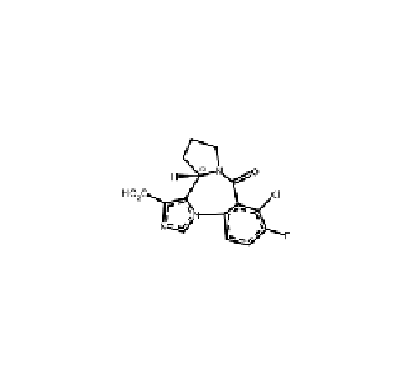 O=C(O)c1ncn2c1[C@@H]1CCCN1C(=O)c1c-2ccc(F)c1Cl